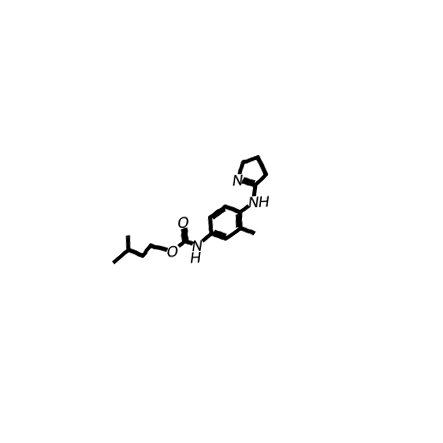 Cc1cc(NC(=O)OCCC(C)C)ccc1NC1=NCCC1